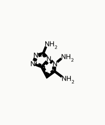 Nc1cc2nnc(N)n2n1N